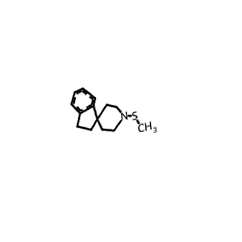 CSN1CCC2(CCc3ccccc32)CC1